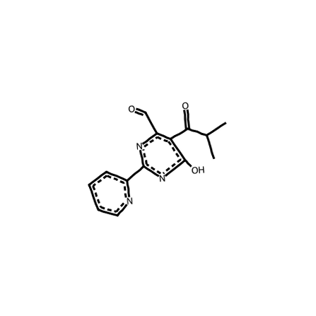 CC(C)C(=O)c1c(O)nc(-c2ccccn2)nc1C=O